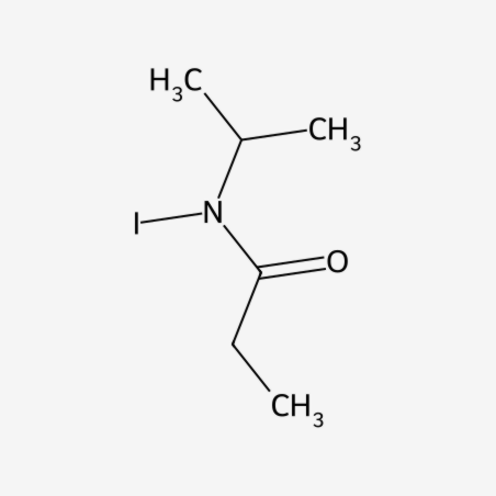 CCC(=O)N(I)C(C)C